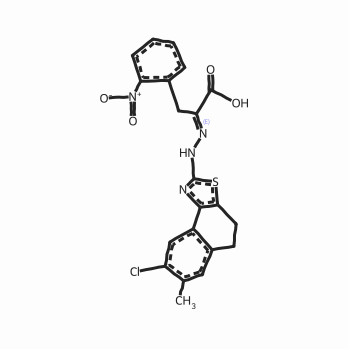 Cc1cc2c(cc1Cl)-c1nc(N/N=C(\Cc3ccccc3[N+](=O)[O-])C(=O)O)sc1CC2